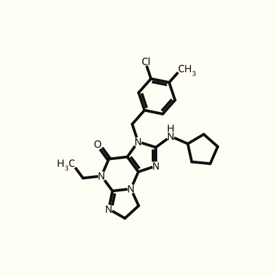 CCN1C(=O)c2c(nc(NC3CCCC3)n2Cc2ccc(C)c(Cl)c2)N2CCN=C12